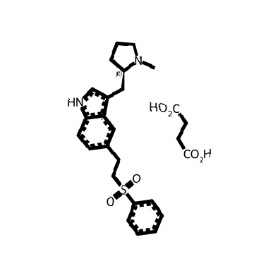 CN1CCC[C@@H]1Cc1c[nH]c2ccc(CCS(=O)(=O)c3ccccc3)cc12.O=C(O)CCC(=O)O